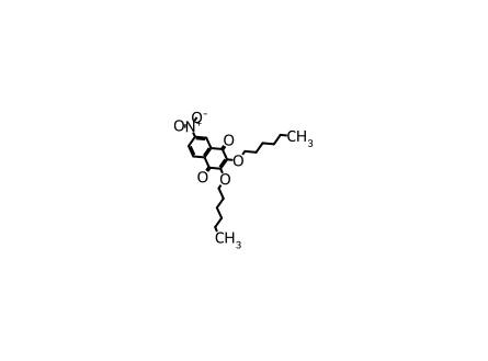 CCCCCCOC1=C(OCCCCCC)C(=O)c2cc([N+](=O)[O-])ccc2C1=O